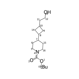 CC(C)(C)OC(=O)N1CCC(C2CC(CCO)C2)CC1